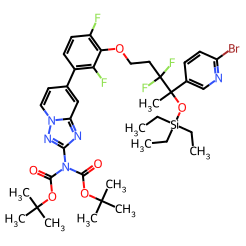 CC[Si](CC)(CC)OC(C)(c1ccc(Br)nc1)C(F)(F)CCOc1c(F)ccc(-c2ccn3nc(N(C(=O)OC(C)(C)C)C(=O)OC(C)(C)C)nc3c2)c1F